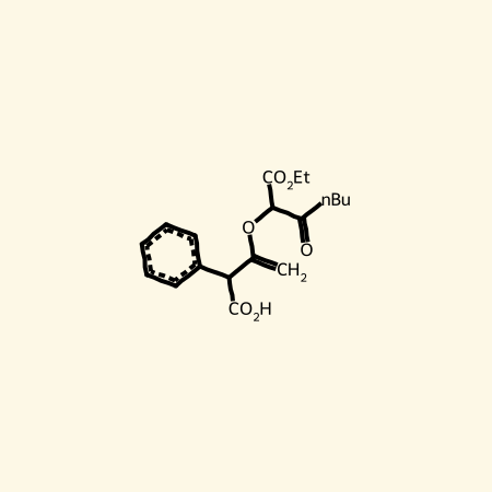 C=C(OC(C(=O)CCCC)C(=O)OCC)C(C(=O)O)c1ccccc1